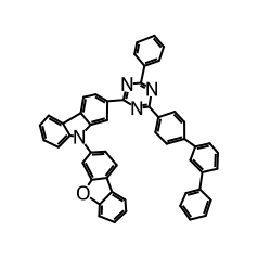 c1ccc(-c2cccc(-c3ccc(-c4nc(-c5ccccc5)nc(-c5ccc6c7ccccc7n(-c7ccc8c(c7)oc7ccccc78)c6c5)n4)cc3)c2)cc1